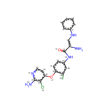 N/C(=C\Nc1ccccc1)C(=O)Nc1ccc(Oc2ccnc(N)c2Cl)c(F)c1